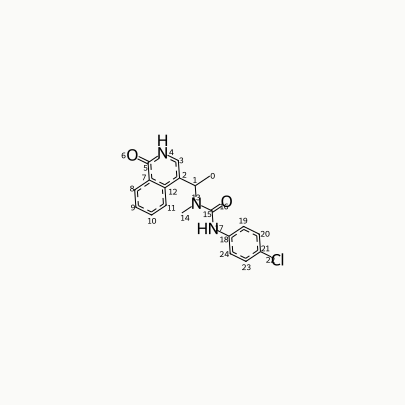 CC(c1c[nH]c(=O)c2ccccc12)N(C)C(=O)Nc1ccc(Cl)cc1